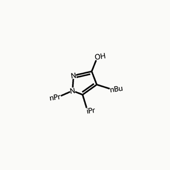 CCCCc1c(O)nn(CCC)c1C(C)C